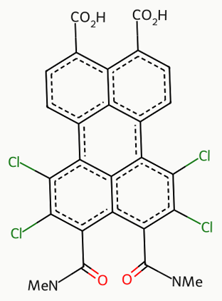 CNC(=O)c1c(Cl)c(Cl)c2c3ccc(C(=O)O)c4c(C(=O)O)ccc(c5c(Cl)c(Cl)c(C(=O)NC)c1c25)c43